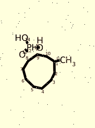 CC1CCCCCCCCC1.O=[PH](O)O